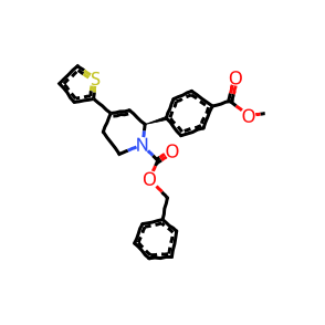 COC(=O)c1ccc([C@@H]2C=C(c3cccs3)CCN2C(=O)OCc2ccccc2)cc1